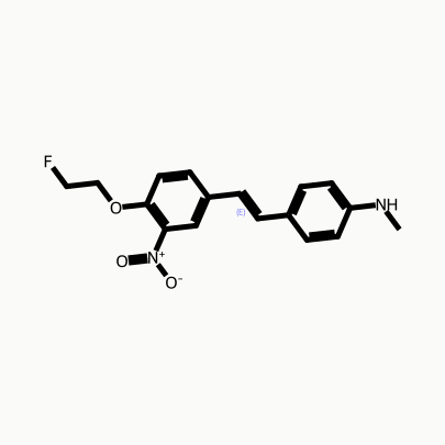 CNc1ccc(/C=C/c2ccc(OCCF)c([N+](=O)[O-])c2)cc1